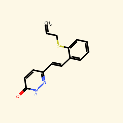 C=CCSc1ccccc1C=Cc1ccc(=O)[nH]n1